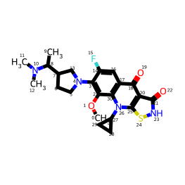 COc1c(N2CCC(C(C)N(C)C)C2)c(F)cc2c(=O)c3c(=O)[nH]sc3n(C3CC3)c12